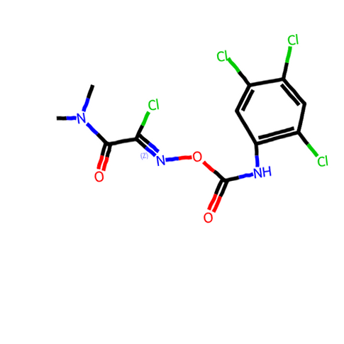 CN(C)C(=O)/C(Cl)=N/OC(=O)Nc1cc(Cl)c(Cl)cc1Cl